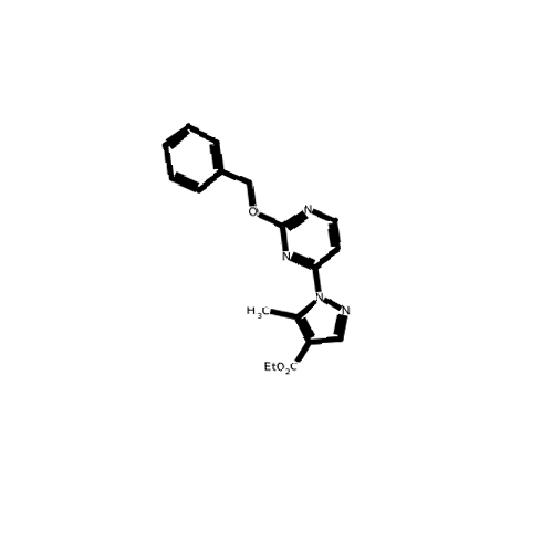 CCOC(=O)c1cnn(-c2ccnc(OCc3ccccc3)n2)c1C